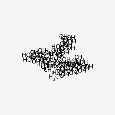 CC(=O)N[C@H]1[C@H](O[C@H]2[C@@H](O)[C@@H](CO)O[C@@H](O[C@H]3[C@H](O)[C@@H](O)[C@H](O)O[C@@H]3CO)[C@@H]2O)O[C@H](CO)[C@@H](O[C@@H]2O[C@H](CO[C@@H]3O[C@H](CO)[C@@H](O[C@@H]4O[C@H](CO)[C@H](O)[C@H](O)[C@H]4O[C@@H]4O[C@@H](C)[C@@H](O)[C@@H](O)[C@@H]4O)[C@H](O)[C@H]3NC(C)=O)[C@H](O)[C@H](O[C@@H]3O[C@H](CO)[C@@H](O[C@@H]4O[C@H](CO)[C@H](O)[C@H](O[C@]5(C(=O)O)C[C@H](O)[C@@H](NC(C)=O)[C@H]([C@H](O)[C@H](O)CO)O5)[C@H]4O)[C@H](O)[C@H]3NC(C)=O)[C@H]2O)[C@@H]1O